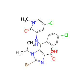 Cc1cc(Cl)ccc1C(Nc1cc(Cl)cn(C)c1=O)c1c(C(=O)O)nc(Br)n1C(C)C